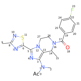 CC(=O)N(C)c1nc(-c2nc(C)ns2)n2c1C(C)N(C(=O)c1ccc(F)cc1)CC2